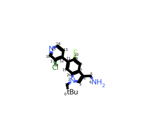 CC(C)(C)Cn1cc(CN)c2cc(F)c(-c3ccncc3Cl)cc21